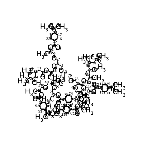 CCC(COCC(COCC(C)OC(=O)c1ccc(N(C)C)cc1)OCC(C)OC(=O)CC(C)CC(C)(C)C)(COCC(COCC(C)OC(=O)c1ccc(N(C)C)cc1)OCC(C)OC(=O)c1ccc(N(C)C)cc1)COCC(COCC(C)OC(=O)CC(C)CC(C)(C)C)OCC(COCC(C)OC(=O)c1ccc(N(C)C)cc1)OCC(C)OC(=O)c1ccc(N(C)C)cc1